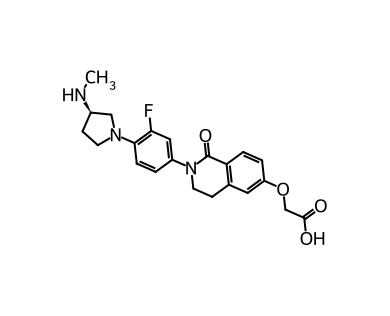 CN[C@@H]1CCN(c2ccc(N3CCc4cc(OCC(=O)O)ccc4C3=O)cc2F)C1